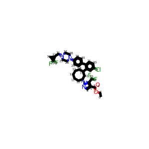 CCOC(=O)c1cnn(C2CCCCCC(c3cc(Cl)ccc3-c3ccc(N4CCN(CC5CC5(F)F)CC4)cc3)C2)c1C(F)F